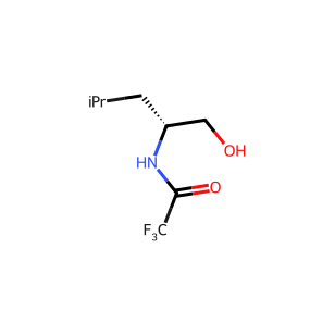 CC(C)C[C@H](CO)NC(=O)C(F)(F)F